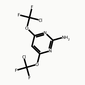 Nc1nc(OC(F)(F)Cl)cc(OC(F)(F)Cl)n1